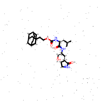 CC(C)C[C@H](NC(=O)OCCC12CC3CC(CC(C3)C1)C2)C(=O)N[C@H](CO)C[C@@H]1CCNC1=O